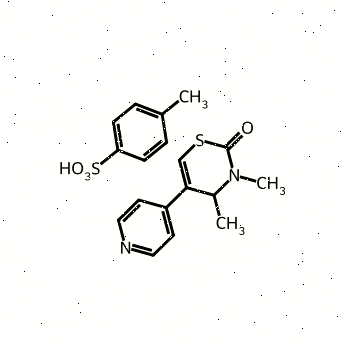 CC1C(c2ccncc2)=CSC(=O)N1C.Cc1ccc(S(=O)(=O)O)cc1